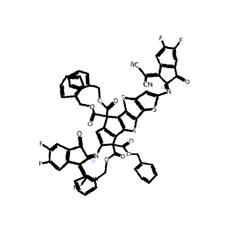 N#CC(C#N)=C1/C(=N/C2=CC3=C(c4sc5c(sc6cc(/N=C7/C(=O)c8cc(F)c(F)cc8C7=C(C#N)C#N)sc65)c4C3(C(=O)OCc3ccccc3)C(=O)OCc3ccccc3)C2(C(=O)OCc2ccccc2)C(=O)OCc2ccccc2)C(=O)c2cc(F)c(F)cc21